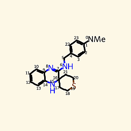 CNc1ccc(CNC2=Nc3ccccc3NC23CCSCC3)cc1